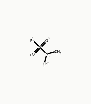 CCCN(C)S(=O)(=O)CC